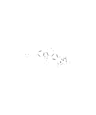 CCOP(=O)(Nc1ccc(-c2c(C#N)c3ccc(OC)cc3n2C2CCC2)cc1)OCC